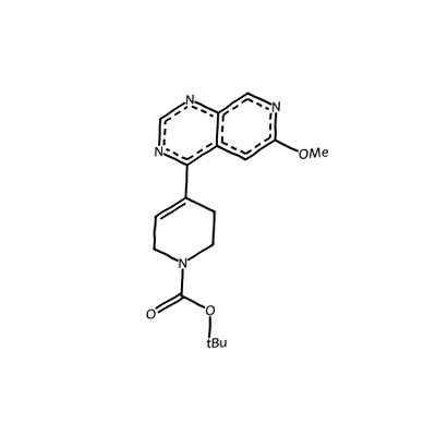 COc1cc2c(C3=CCN(C(=O)OC(C)(C)C)CC3)ncnc2cn1